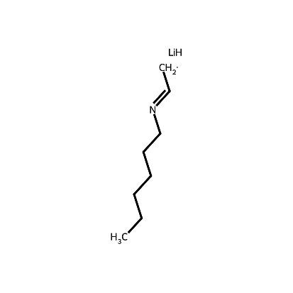 [CH2]C=NCCCCCC.[LiH]